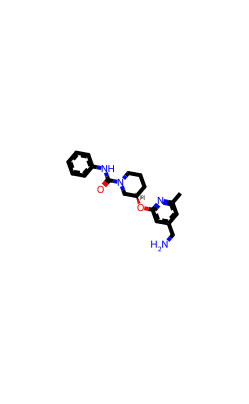 Cc1cc(CN)cc(O[C@@H]2CCCN(C(=O)Nc3ccccc3)C2)n1